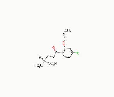 C=CCOc1cc(Cl)ccc1C(=O)CCC(CC)(C(=O)O)C(=O)O